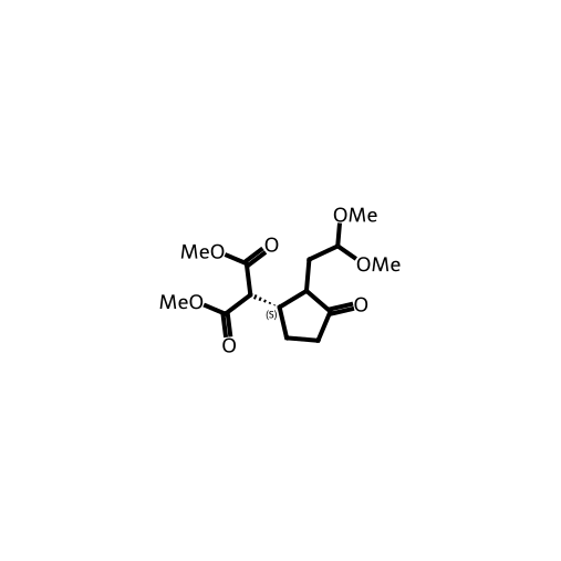 COC(=O)C(C(=O)OC)[C@H]1CCC(=O)C1CC(OC)OC